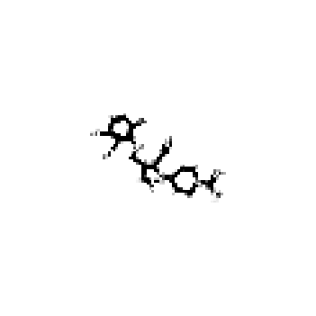 N#Cc1c(COc2c(F)ccc(F)c2F)cnn1C1CCN(C(=O)O)CC1